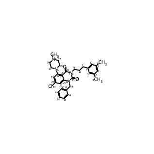 Cc1cc(C)cc(CCCn2c(=O)c3c(N4CCN(C)CC4)cc(Cl)cc3n(Cc3ccccc3)c2=O)c1